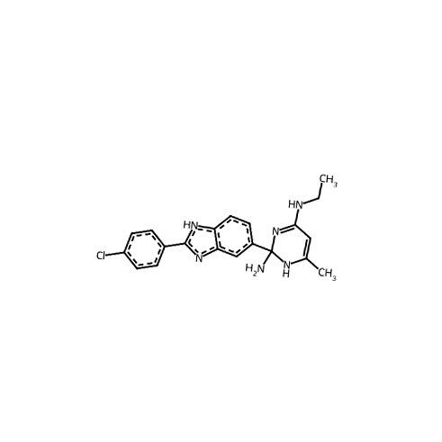 CCNC1=NC(N)(c2ccc3[nH]c(-c4ccc(Cl)cc4)nc3c2)NC(C)=C1